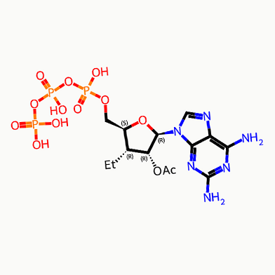 CC[C@H]1[C@@H](OC(C)=O)[C@H](n2cnc3c(N)nc(N)nc32)O[C@@H]1COP(=O)(O)OP(=O)(O)OP(=O)(O)O